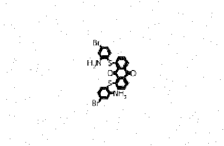 Nc1cc(Br)ccc1Sc1cccc2c1C(=O)c1c(Sc3ccc(Br)cc3N)cccc1C2=O